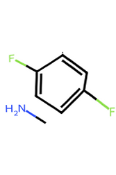 CN.Fc1[c]cc(F)cc1